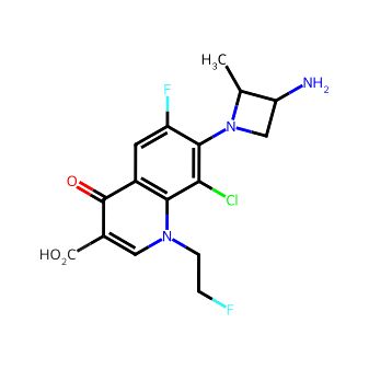 CC1C(N)CN1c1c(F)cc2c(=O)c(C(=O)O)cn(CCF)c2c1Cl